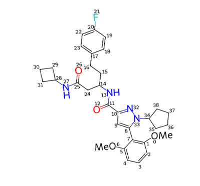 COc1cccc(OC)c1-c1cc(C(=O)NC(CCc2ccc(F)cc2)CC(=O)NC2CCC2)nn1C1CCCC1